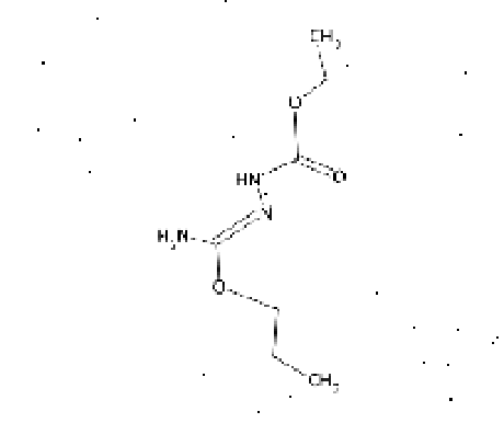 CCCOC(N)=NNC(=O)OCC